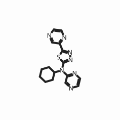 c1cnc(-c2nnc(N(c3cnccn3)C3CCCCC3)s2)cn1